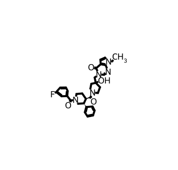 CCn1ccc2c(=O)n(CC3(O)CCN(C(=O)[C@@H]4CCN(C(=O)c5cccc(F)c5)C[C@H]4c4ccccc4)CC3)cnc21